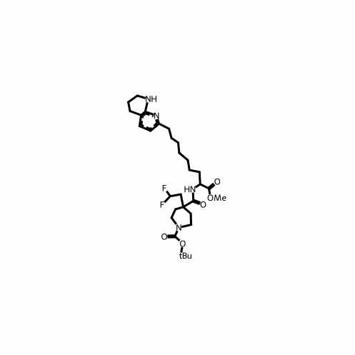 COC(=O)C(CCCCCCCc1ccc2c(n1)NCCC2)NC(=O)C1(CC(F)F)CCN(C(=O)OC(C)(C)C)CC1